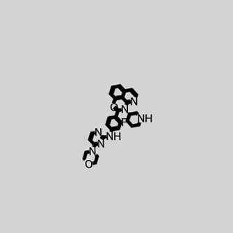 Cc1cccc2ccnc(N(C(=O)c3ccc(Nc4nccc(N5CCOCC5)n4)cc3F)[C@@H]3CCCNC3)c12